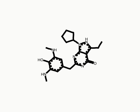 CCc1[nH]n(C2CCCC2)c2nc(Cc3cc(NC)c(O)c(NC)c3)nc(=O)c1-2